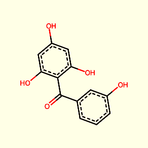 O=C(c1cccc(O)c1)c1c(O)cc(O)cc1O